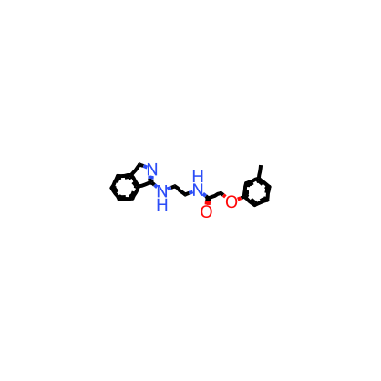 Cc1cccc(OCC(=O)NCCNC2=NCc3ccccc32)c1